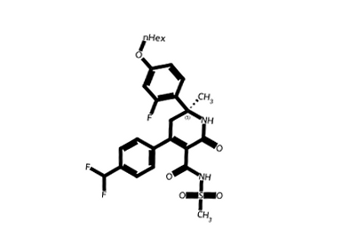 CCCCCCOc1ccc([C@]2(C)CC(c3ccc(C(F)F)cc3)=C(C(=O)NS(C)(=O)=O)C(=O)N2)c(F)c1